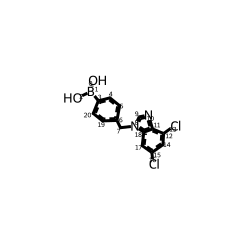 OB(O)c1ccc(Cn2cnc3c(Cl)cc(Cl)cc32)cc1